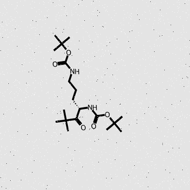 CC(C)(C)OC(=O)NCCC[C@H](NC(=O)OC(C)(C)C)C(=O)C(C)(C)C